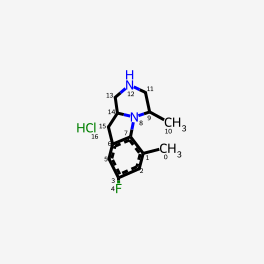 Cc1cc(F)cc2c1N1C(C)CNCC1C2.Cl